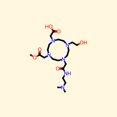 COC(=O)CN1CCN(CC(=O)O)CCN(CCO)CCN(CC(=O)NCCN(C)C)CC1